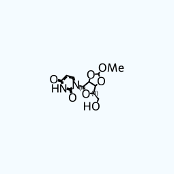 COC1OC2C(O1)[C@@H](CO)O[C@H]2n1ccc(=O)[nH]c1=O